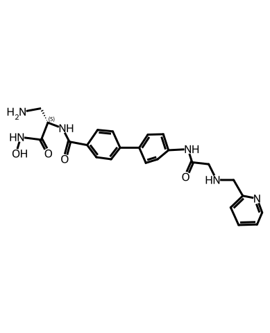 NC[C@H](NC(=O)c1ccc(-c2ccc(NC(=O)CNCc3ccccn3)cc2)cc1)C(=O)NO